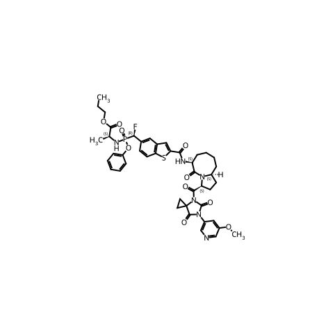 CCCOC(=O)[C@H](C)NP(=O)(Oc1ccccc1)[C@@H](F)c1ccc2sc(C(=O)N[C@H]3CCCC[C@H]4CC[C@@H](C(=O)N5C(=O)N(c6cncc(OC)c6)C(=O)C56CC6)N4C3=O)cc2c1